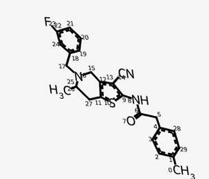 Cc1ccc(CC(=O)Nc2sc3c(c2C#N)CN(Cc2cccc(F)c2)C(C)C3)cc1